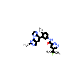 Cc1ncc2c(n1)N1CCN=C1C(c1cc(NC(=O)c3cc(C(C)(C)F)cnn3)ccc1C)=C2